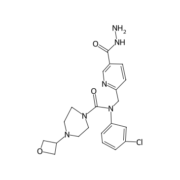 NNC(=O)c1ccc(CN(C(=O)N2CCN(C3COC3)CC2)c2cccc(Cl)c2)nc1